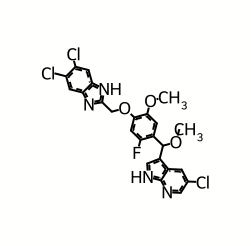 COc1cc(C(OC)c2c[nH]c3ncc(Cl)cc23)c(F)cc1OCc1nc2cc(Cl)c(Cl)cc2[nH]1